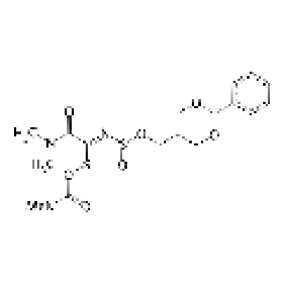 CNC(=O)OSC(=NS(=O)OCC1COC(c2ccccc2)OC1)C(=O)N(C)C